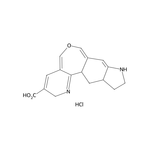 Cl.O=C(O)C1=CC2=COC=C3C=C4NCCC4CC3C2=NC1